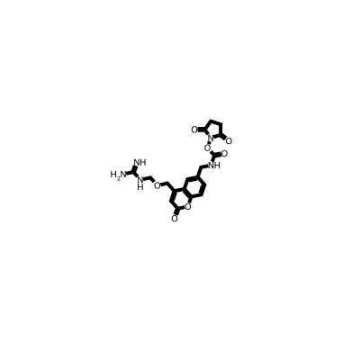 N=C(N)NCOCc1cc(=O)oc2ccc(CNC(=O)ON3C(=O)CCC3=O)cc12